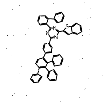 c1ccc(-c2ccccc2-c2nc(-c3ccc(-c4ccc(-c5ccccc5)c(-c5ccccc5)c4-c4ccccc4)cc3)nc(-c3cc4ccccc4s3)n2)cc1